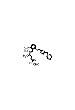 CC(CCC(=O)NC=O)N(C)Cc1c(C=O)cccc1SCc1nc(CN2CCCCC2)cs1